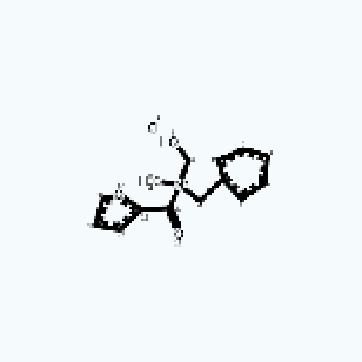 C[N+](CO)(Cc1ccccc1)C(=O)c1ccco1.[Cl-]